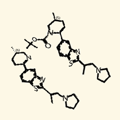 CC(CN1CCCC1)c1nc2cc(C3=CC[C@H](C)CN3C(=O)OC(C)(C)C)ccc2s1.CC(CN1CCCC1)c1nc2cc(C3=NC[C@@H](C)CC3)ccc2s1